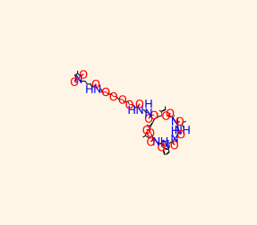 C/C=C(\C)[C@H]1OC(=O)[C@@H](C)NC(=O)[C@H](C(C)CC)NC(=O)CN(C)C(=O)[C@@H](Cc2ccccc2)N(C)C(=O)[C@H](C)NC(=O)[C@@H](CC(C)C)OC(=O)/C(C)=C/C[C@H](OC(=O)NCCNC(=O)CCOCCOCCOCCOCCNC(=O)CCCCCN2C(=O)CC(C)C2=O)[C@@H]1C